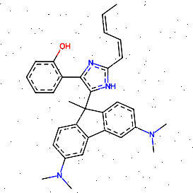 C/C=C\C=C/c1nc(-c2ccccc2O)c(C2(C)c3ccc(N(C)C)cc3-c3cc(N(C)C)ccc32)[nH]1